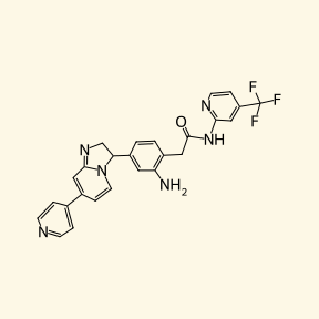 Nc1cc(C2CN=C3C=C(c4ccncc4)C=CN32)ccc1CC(=O)Nc1cc(C(F)(F)F)ccn1